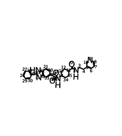 O=C(NCCc1cccnc1)C1CCC(NS(=O)(=O)c2ccc3[nH]c(-c4ccccc4)nc3c2)CC1